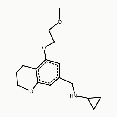 COCCOc1cc(CNC2CC2)cc2c1CCCO2